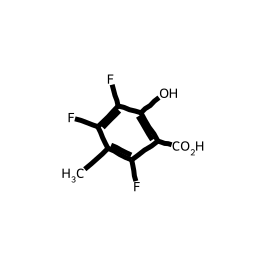 Cc1c(F)c(F)c(O)c(C(=O)O)c1F